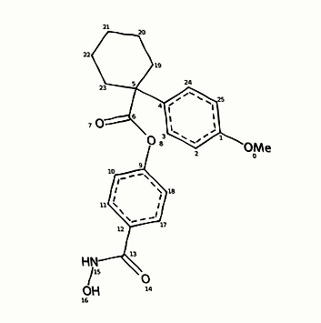 COc1ccc(C2(C(=O)Oc3ccc(C(=O)NO)cc3)CCCCC2)cc1